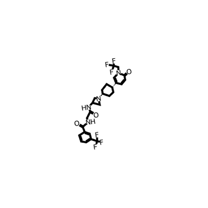 O=C(CNC(=O)c1cccc(C(F)(F)F)c1)NC1CN([C@H]2CC[C@@H](c3ccc(=O)n(CC(F)(F)F)c3)CC2)C1